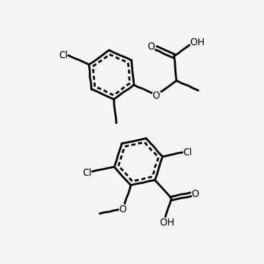 COc1c(Cl)ccc(Cl)c1C(=O)O.Cc1cc(Cl)ccc1OC(C)C(=O)O